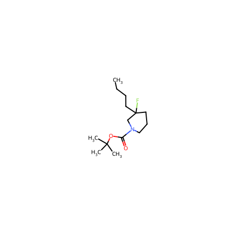 CCCCC1(F)CCCN(C(=O)OC(C)(C)C)C1